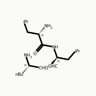 CC(C)C[C@@H](C=O)NC(=O)[C@@H](N)CC(C)C.CCCC[C@H](N)C=O